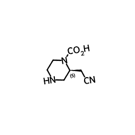 N#CC[C@H]1CNCCN1C(=O)O